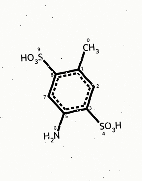 Cc1cc(S(=O)(=O)O)c(N)cc1S(=O)(=O)O